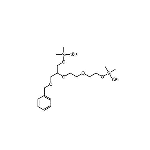 CC(C)(C)[Si](C)(C)OCCOCCOC(COCc1ccccc1)CO[Si](C)(C)C(C)(C)C